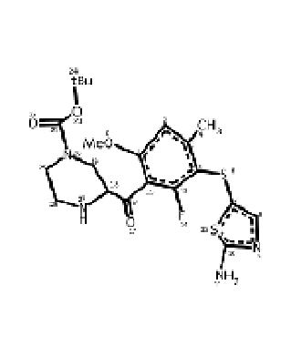 COc1cc(C)c(Sc2cnc(N)s2)c(F)c1C(=O)C1CN(C(=O)OC(C)(C)C)CCN1